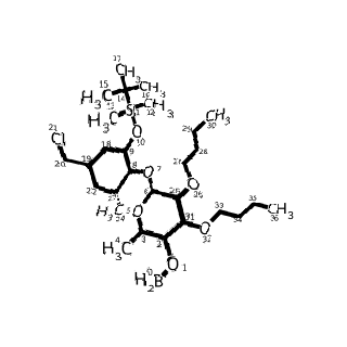 BOC1C(C)O[C@@H](OC2C(O[Si](C)(C)C(C)(C)C)CC(CCl)C[C@H]2C)C(OCCCC)C1OCCCC